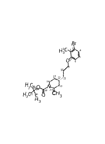 Cc1c(Br)cccc1OCCC[C@H]1CCN(C(=O)OC(C)(C)C)[C@H](C)C1